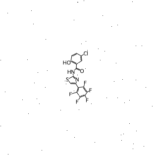 O=C(Nc1nc(-c2c(F)c(F)c(F)c(F)c2F)cs1)c1cc(Cl)ccc1O